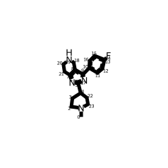 CN1CCC(c2nc3c(c(-c4ccc(F)cc4)n2)CNCC3)CC1